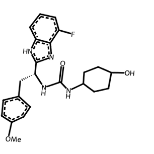 COc1ccc(C[C@@H](NC(=O)NC2CCC(O)CC2)c2nc3c(F)cccc3[nH]2)cc1